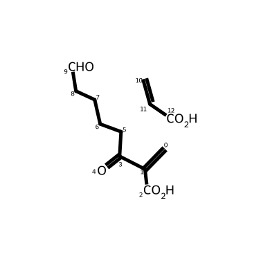 C=C(C(=O)O)C(=O)CCCCC=O.C=CC(=O)O